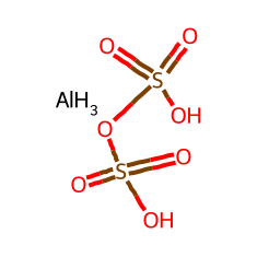 O=S(=O)(O)OS(=O)(=O)O.[AlH3]